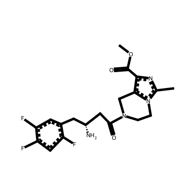 COC(=O)c1nc(C)n2c1CN(C(=O)C[C@H](N)Cc1cc(F)c(F)cc1F)CC2